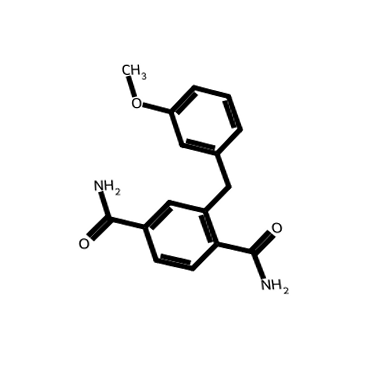 COc1cccc(Cc2cc(C(N)=O)ccc2C(N)=O)c1